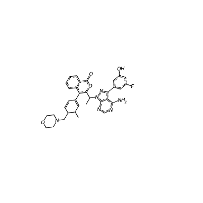 CC1C=C(c2c(C(C)n3nc(-c4cc(O)cc(F)c4)c4c(N)ncnc43)oc(=O)c3ccccc23)C=CC1CN1CCOCC1